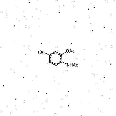 CC(=O)Nc1ccc(C(C)(C)C)cc1OC(C)=O